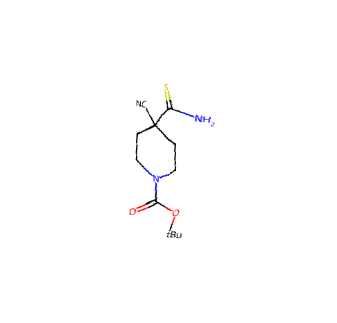 CC(C)(C)OC(=O)N1CCC(C#N)(C(N)=S)CC1